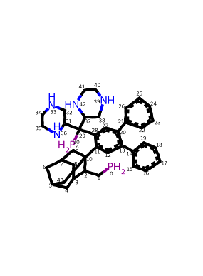 PCC1C2CC3CC(C2)CC1(c1cc(-c2ccccc2)c(-c2ccccc2)cc1C(P)(C1CNCCN1)C1CNCCN1)C3